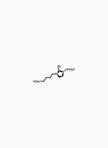 CCCCCCCCCCCCCCn1cc[n+](CCCCCCC)c1C(C)C